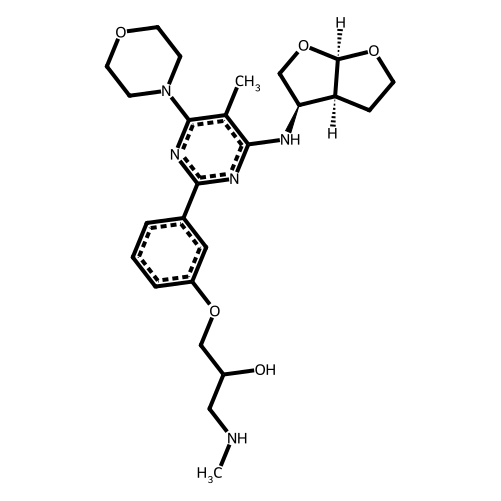 CNCC(O)COc1cccc(-c2nc(N[C@H]3CO[C@H]4OCC[C@H]43)c(C)c(N3CCOCC3)n2)c1